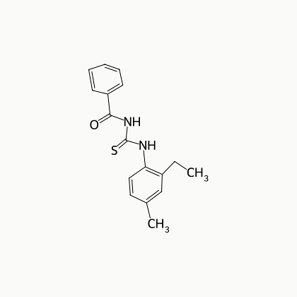 CCc1cc(C)ccc1NC(=S)NC(=O)c1ccccc1